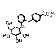 O=C(O)c1ccc(Cc2ccccc2O[C@@H]2C[C@H](CO)[C@@H](O)[C@H](O)[C@H]2O)cc1